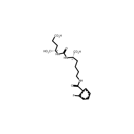 O=C(O)CC[C@H](NC(=O)N[C@@H](CCCCNC(=O)c1ccccc1F)C(=O)O)C(=O)O